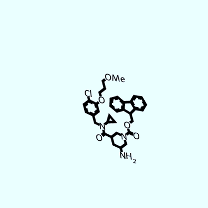 COCCCOc1cc(CN(C(=O)C2CC(N)CN(C(=O)OCC3c4ccccc4-c4ccccc43)C2)C2CC2)ccc1Cl